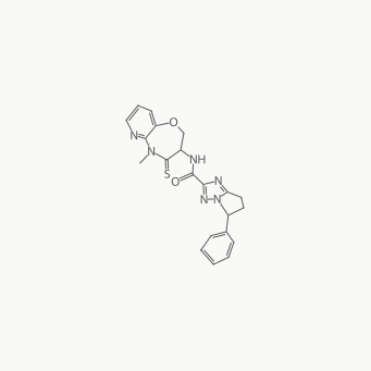 CN1C(=S)C(NC(=O)c2nc3n(n2)C(c2ccccc2)CC3)COc2cccnc21